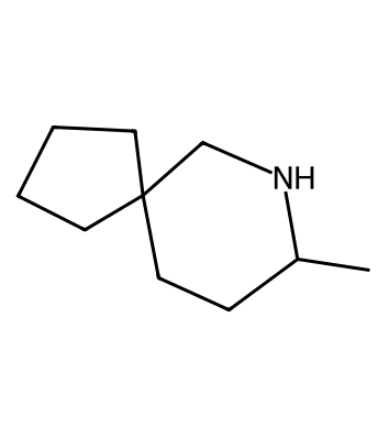 CC1CCC2(CCCC2)CN1